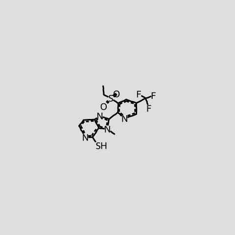 CCS(=O)(=O)c1cc(C(F)(F)F)cnc1-c1nc2ccnc(S)c2n1C